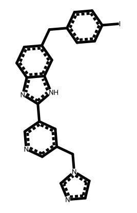 Ic1ccc(Cc2ccc3nc(-c4cncc(Cn5ccnc5)c4)[nH]c3c2)cc1